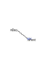 CCCCCCCCCCCCCCCCCCCCCCNCCCCC